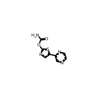 NC(=O)Oc1ncc(-c2cnccn2)s1